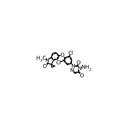 CN1C(=O)C2(CC2)c2cc(Oc3c(Cl)cc(-n4ncc(=O)n(N)c4=O)cc3Cl)ccc21